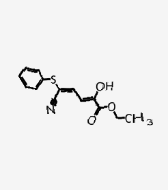 CCOC(=O)C(O)=CC=C(C#N)Sc1ccccc1